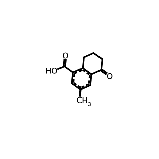 Cc1cc(C(=O)O)c2c(c1)C(=O)CCC2